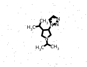 CC(C)C1CN(C(C)C)CC1n1ccnn1